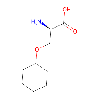 N[C@H](COC1CCCCC1)C(=O)O